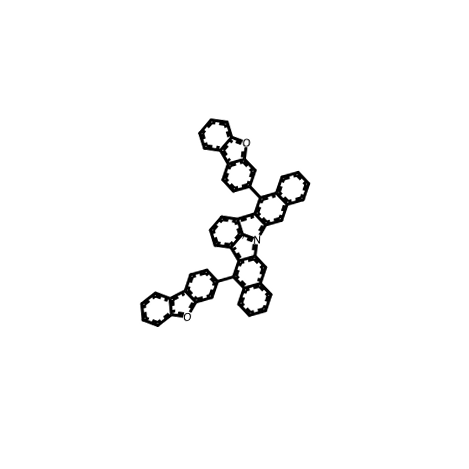 c1ccc2c(-c3ccc4c(c3)oc3ccccc34)c3c4cccc5c6c(-c7ccc8c(c7)oc7ccccc78)c7ccccc7cc6n(c3cc2c1)c45